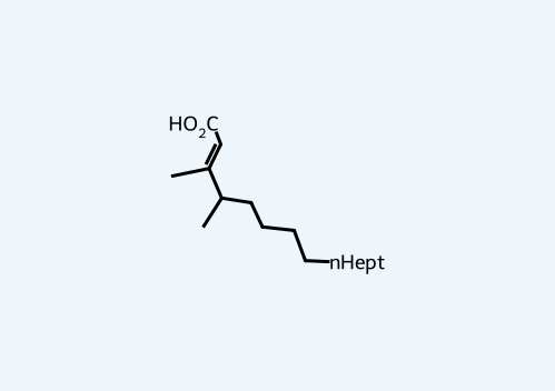 CCCCCCCCCCCC(C)/C(C)=C/C(=O)O